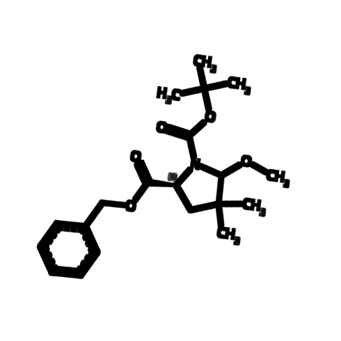 COC1N(C(=O)OC(C)(C)C)[C@H](C(=O)OCc2ccccc2)CC1(C)C